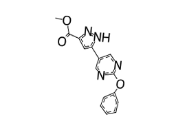 COC(=O)c1cc(-c2cnc(Oc3ccccc3)nc2)[nH]n1